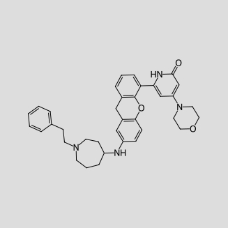 O=c1cc(N2CCOCC2)cc(-c2cccc3c2Oc2ccc(NC4CCCN(CCc5ccccc5)CC4)cc2C3)[nH]1